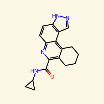 O=C(NC1CC1)c1nc2ccc3[nH]ncc3c2c2c1CCCC2